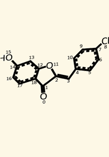 O=C1/C(=C/c2ccc(C(F)(F)F)cc2)Oc2cc(O)ccc21